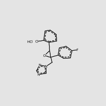 Cl.Fc1ccc(C2(Cn3cncn3)OC2c2ccccc2Cl)cc1